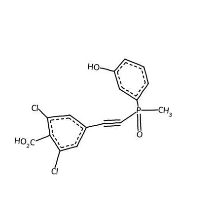 CP(=O)(C#Cc1cc(Cl)c(C(=O)O)c(Cl)c1)c1cccc(O)c1